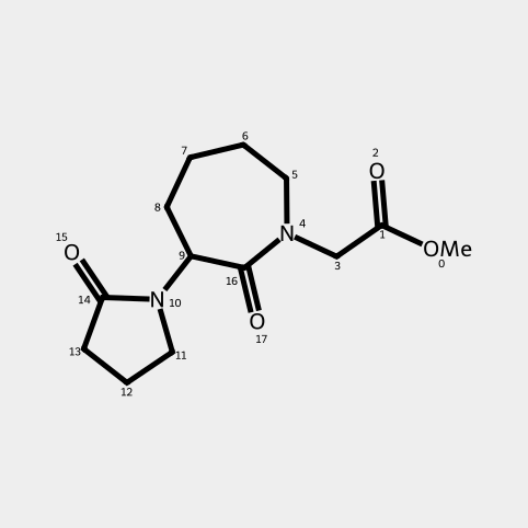 COC(=O)CN1CCCCC(N2CCCC2=O)C1=O